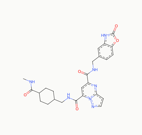 CNC(=O)C1CCC(CNC(=O)c2cc(C(=O)NCc3ccc4oc(=O)[nH]c4c3)nc3ccnn23)CC1